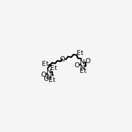 CCC(CCCCOCCCCC(CC)(CC)CN1CC[N+]([O-])(CC)C1=O)CCN1C(=O)CN(CC)C1=O